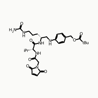 CC(C)[C@@H](NC(=O)CN1C(=O)C=CC1=O)C(=O)N[C@H](CCCNC(N)=O)CNc1ccc(COC(=O)C(C)(C)C)cc1